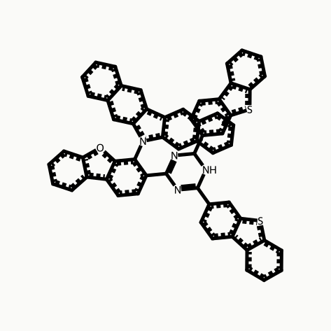 c1ccc2cc3c(cc2c1)c1cc2ccccc2cc1n3-c1c(C2=NC(c3ccc4c(c3)sc3ccccc34)NC(c3ccc4c(c3)sc3ccccc34)=N2)ccc2c1oc1ccccc12